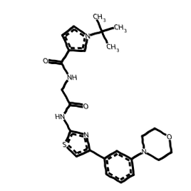 CC(C)(C)n1ccc(C(=O)NCC(=O)Nc2nc(-c3cccc(N4CCOCC4)c3)cs2)c1